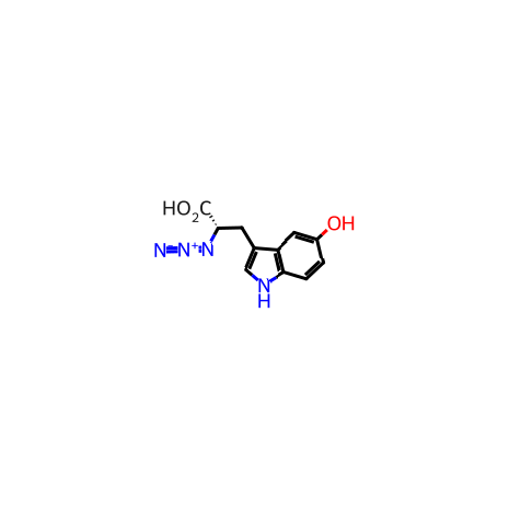 [N-]=[N+]=N[C@@H](Cc1c[nH]c2ccc(O)cc12)C(=O)O